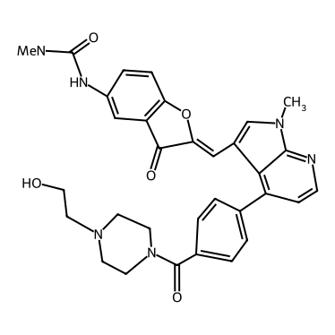 CNC(=O)Nc1ccc2c(c1)C(=O)/C(=C/c1cn(C)c3nccc(-c4ccc(C(=O)N5CCN(CCO)CC5)cc4)c13)O2